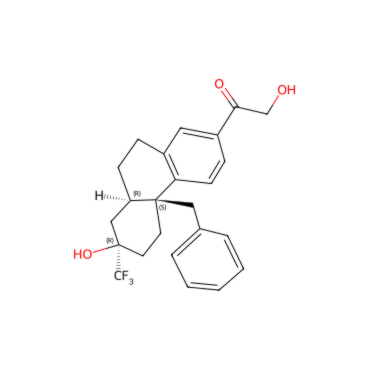 O=C(CO)c1ccc2c(c1)CC[C@@H]1C[C@@](O)(C(F)(F)F)CC[C@@]21Cc1ccccc1